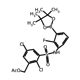 CC(=O)OCc1cc(Cl)cc(S(=O)(=O)Nc2cccc(B3OC(C)(C)C(C)(C)O3)c2F)c1Cl